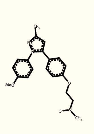 COc1ccc(-n2nc(C(F)(F)F)cc2-c2ccc(OCC[S+](C)[O-])cc2)cc1